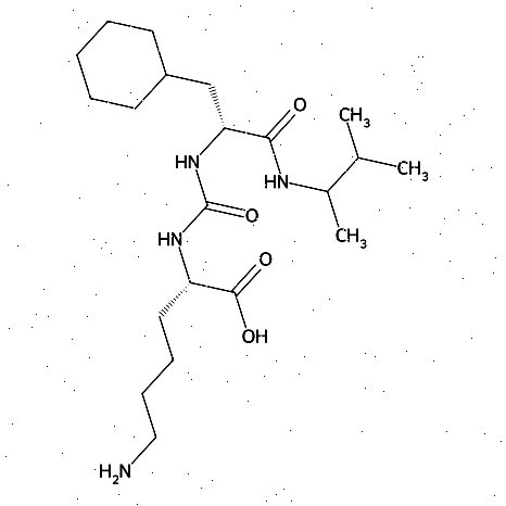 CC(C)C(C)NC(=O)[C@@H](CC1CCCCC1)NC(=O)N[C@@H](CCCCN)C(=O)O